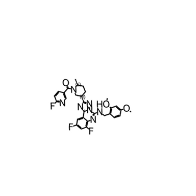 COc1ccc(CNc2nc3c(F)cc(F)cc3c3nc([C@@H]4CC[C@H](C)N(C(=O)c5ccc(F)nc5)C4)nn23)c(OC)c1